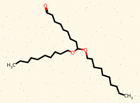 CCCCCCCCCCOC(CCCCCCCC=O)OCCCCCCCCCC